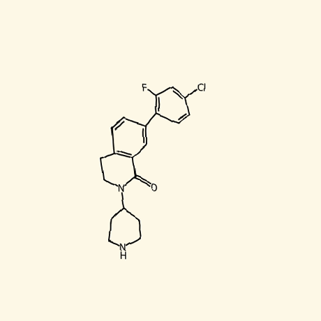 O=C1c2cc(-c3ccc(Cl)cc3F)ccc2CCN1C1CCNCC1